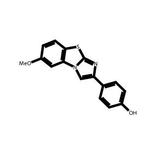 COc1ccc2sc3nc(-c4ccc(O)cc4)cn3c2c1